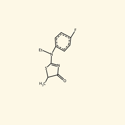 CCN(C1=NC(=O)C(C)S1)c1ccc(F)cc1